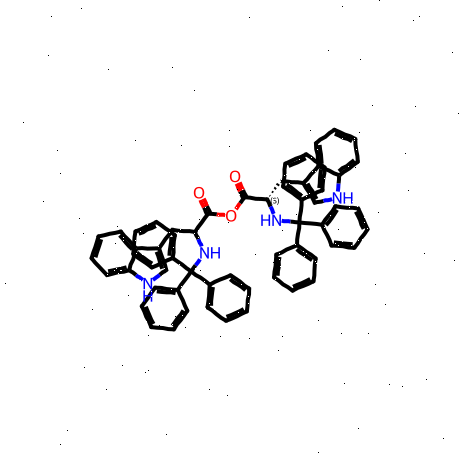 O=C(OC(=O)[C@H](Cc1c[nH]c2ccccc12)NC(c1ccccc1)(c1ccccc1)c1ccccc1)C(Cc1c[nH]c2ccccc12)NC(c1ccccc1)(c1ccccc1)c1ccccc1